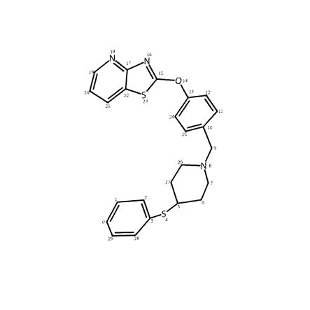 c1ccc(SC2CCN(Cc3ccc(Oc4nc5ncccc5s4)cc3)CC2)cc1